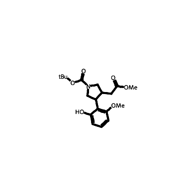 COC(=O)CC1CN(C(=O)OC(C)(C)C)CC1c1c(O)cccc1OC